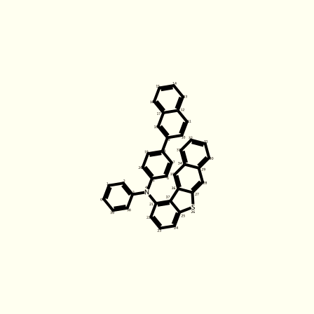 c1ccc(N(c2ccc(-c3ccc4ccccc4c3)cc2)c2cccc3sc4cc5ccccc5cc4c23)cc1